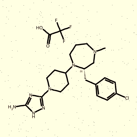 CN1CCCN(C2CCN(c3n[nH]c(N)n3)CC2)[C@@H](Cc2ccc(Cl)cc2)C1.O=C(O)C(F)(F)F